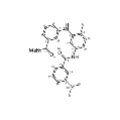 CNC(=O)c1cccc(Nc2cc(NC(=O)c3cccc(N(C)C)c3)ccc2C)c1